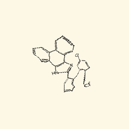 Clc1ccc(Cl)c(-c2ccccc2-c2nc3c4ccccc4c4ccccc4c3[nH]2)c1